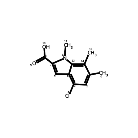 Cc1cc(Cl)c2cc(C(=O)O)n(C)c2c1C